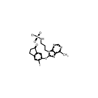 CCS(=O)(=O)NCCCn1c(Sc2cc3c(cc2I)CCC3=O)nc2c(C)ncnc21